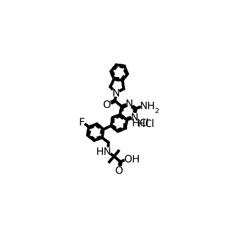 CC(C)(NCc1ccc(F)cc1-c1ccc2nc(N)nc(C(=O)N3Cc4ccccc4C3)c2c1)C(=O)O.Cl.Cl